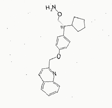 NOC[C@@H](c1ccc(OCc2ccc3ccccc3n2)cc1)C1CCCC1